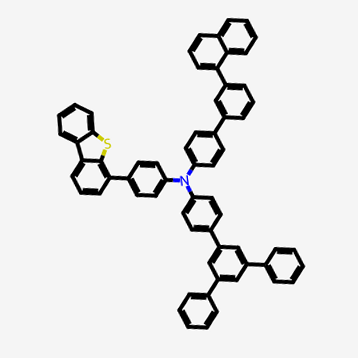 c1ccc(-c2cc(-c3ccccc3)cc(-c3ccc(N(c4ccc(-c5cccc(-c6cccc7ccccc67)c5)cc4)c4ccc(-c5cccc6c5sc5ccccc56)cc4)cc3)c2)cc1